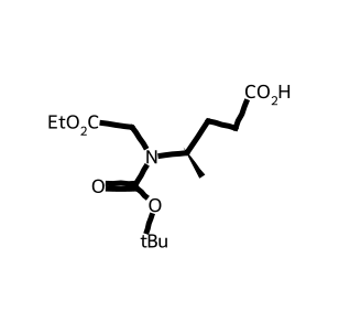 CCOC(=O)CN(C(=O)OC(C)(C)C)[C@H](C)CCC(=O)O